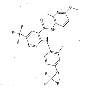 COc1ccc(NC(=O)c2cc(C(F)(F)F)ncc2Nc2ccc(OC(F)(F)F)cc2C)c(C)n1